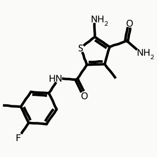 Cc1cc(NC(=O)c2sc(N)c(C(N)=O)c2C)ccc1F